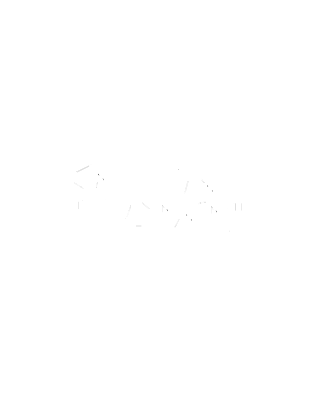 Cc1cc2c(cc1N1Cc3c(Cl)cnc(N(C)C)c3NC1=O)OC(c1ncccc1F)CC2